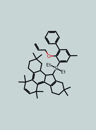 C=CCOc1c(-c2ccccc2)cc(C)cc1[Si](CC)(CC)C1C2=C(CCC(C)(C)C2)C2=C3C(=C4CCC(C)(C)CC4C21)C(C)(C)C=CC3(C)C